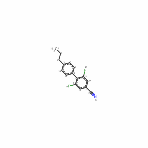 CCCc1ccc(-c2c(F)cc(C#N)cc2F)cc1